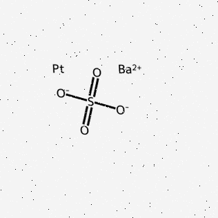 O=S(=O)([O-])[O-].[Ba+2].[Pt]